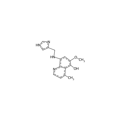 COc1cc(NCc2c[nH]cn2)c2nccc(C)c2c1O